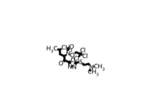 CC(C)CC(C(=O)c1nnc(SCCN(C)C)o1)N(C=O)OCC(Cl)(Cl)Cl